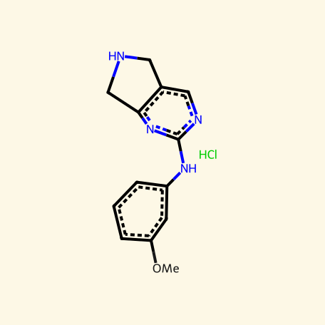 COc1cccc(Nc2ncc3c(n2)CNC3)c1.Cl